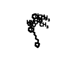 CC1CN(c2ncccc2C(=O)NS(=O)(=O)c2cccc(CCCCCc3ccccc3)n2)C(C)(C)C1